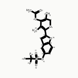 CC(=O)OC1=C(C)COC(c2cc3cc(OS(=O)(=O)C(F)(F)F)ccc3o2)=C1C